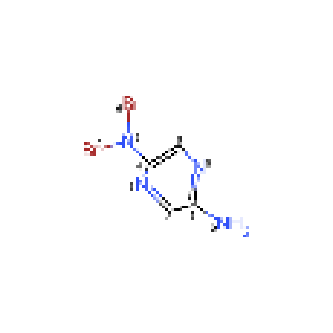 Nc1cnc(N(Br)Br)cn1